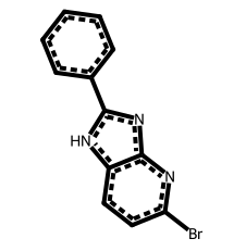 Brc1ccc2[nH]c(-c3ccccc3)nc2n1